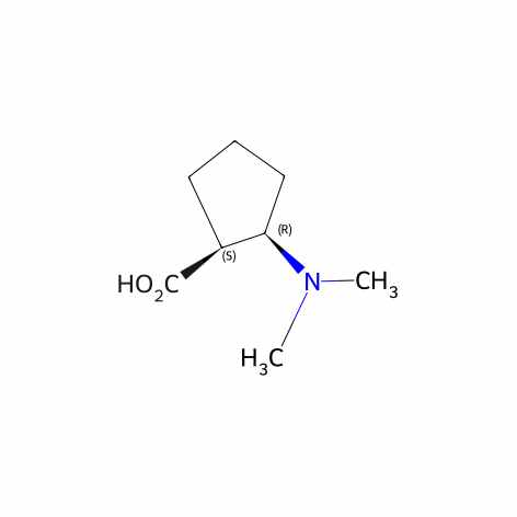 CN(C)[C@@H]1CCC[C@@H]1C(=O)O